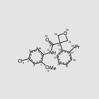 COc1cc(Cl)cnc1NC(=O)C1(c2ccccc2C(C)C)COC1